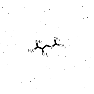 BC(C)C(C)CSC(C)C